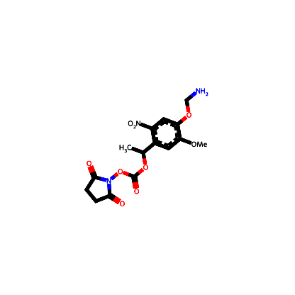 COc1cc(C(C)OC(=O)ON2C(=O)CCC2=O)c([N+](=O)[O-])cc1OCN